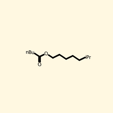 CCCCC(=O)OCCCCCC(C)C